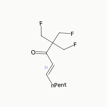 CCCCC/C=C/C(=O)C(CF)(CF)CF